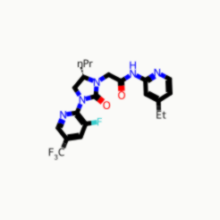 CCC[C@H]1CN(c2ncc(C(F)(F)F)cc2F)C(=O)N1CC(=O)Nc1cc(CC)ccn1